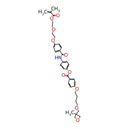 C=C(C)C(=O)OCCOCCOc1ccc(C(=O)Nc2ccc(OC(=O)c3ccc(OCCCCOCC4(C)COC4)cc3)cc2)cc1